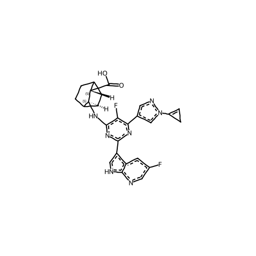 O=C(O)[C@H]1C2CCC(CC2)[C@@H]1Nc1nc(-c2c[nH]c3ncc(F)cc23)nc(-c2cnn(C3=CC3)c2)c1F